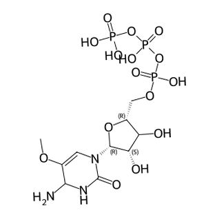 COC1=CN([C@@H]2O[C@H](COP(=O)(O)OP(=O)(O)OP(=O)(O)O)C(O)[C@@H]2O)C(=O)NC1N